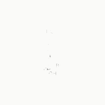 CCCCCCCC#CC(CBr)CCC(=O)O